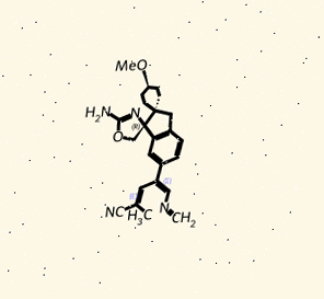 C=N/C=C(\C=C(/C)C#N)c1ccc2c(c1)[C@@]1(COC(N)=N1)[C@]1(CC[C@H](OC)CC1)C2